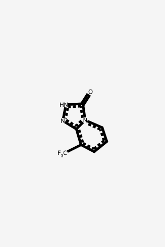 O=c1[nH]nc2c(C(F)(F)F)cccn12